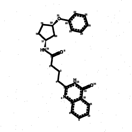 O=C(CCCc1nc2ccccc2c(=O)[nH]1)N[C@@H]1CC[C@@H](Oc2ccccc2)C1